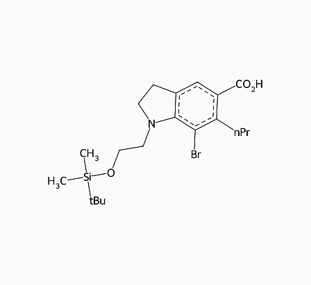 CCCc1c(C(=O)O)cc2c(c1Br)N(CCO[Si](C)(C)C(C)(C)C)CC2